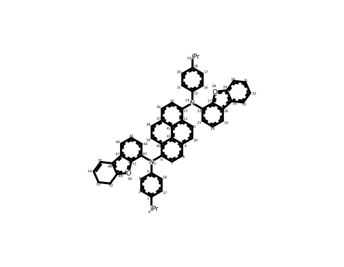 CC(C)c1ccc(N(c2ccc3ccc4c(N(c5ccc(C(C)C)cc5)c5cccc6c5oc5ccccc56)ccc5ccc2c3c54)c2cccc3c4c(oc23)CCC=C4)cc1